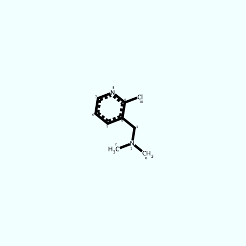 CN(C)Cc1cccnc1Cl